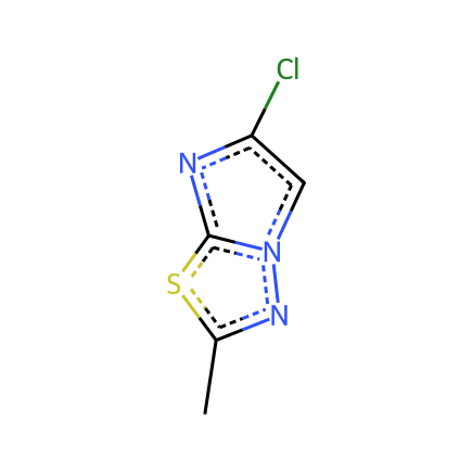 Cc1nn2cc(Cl)nc2s1